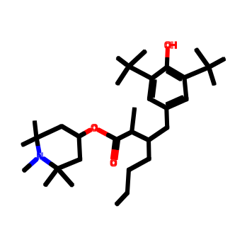 CCCCC(Cc1cc(C(C)(C)C)c(O)c(C(C)(C)C)c1)C(C)C(=O)OC1CC(C)(C)N(C)C(C)(C)C1